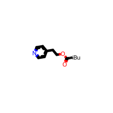 CCC(C)C(=O)OCCc1ccncc1